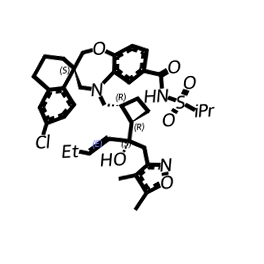 CC/C=C/[C@](O)(Cc1noc(C)c1C)[C@@H]1CC[C@H]1CN1C[C@@]2(CCCc3cc(Cl)ccc32)COc2ccc(C(=O)NS(=O)(=O)C(C)C)cc21